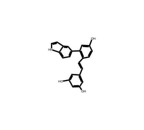 Oc1cc(O)cc(C=Cc2ccc(O)cc2-c2ccc3[nH]ccc3c2)c1